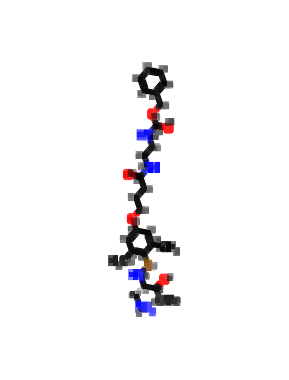 COC(=O)[C@H](CN)NSc1c(C)cc(OCCCC(=O)NCCNC(=O)OCc2ccccc2)cc1C